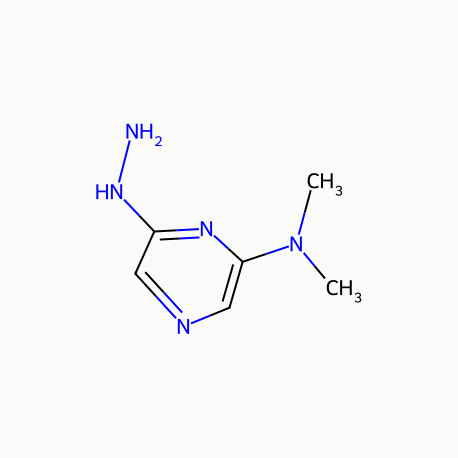 CN(C)c1cncc(NN)n1